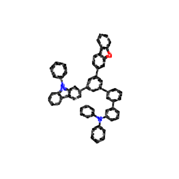 c1ccc(N(c2ccccc2)c2cccc(-c3cccc(-c4cc(-c5ccc6c(c5)oc5ccccc56)cc(-c5ccc6c7ccccc7n(-c7ccccc7)c6c5)c4)c3)c2)cc1